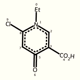 CCn1cc(C(=O)O)c(=O)cc1Cl